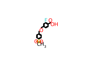 CS(=O)(=O)c1ccc(COCc2ccc(C(=O)O)c(F)c2)cc1